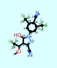 COC(C1C(C#N)=NN(c2cc(C(F)(F)F)c(C#N)c(C(F)(F)F)c2)C1O)C(F)(F)F